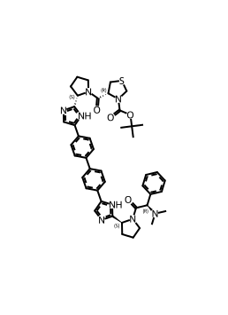 CN(C)[C@@H](C(=O)N1CCC[C@H]1c1ncc(-c2ccc(-c3ccc(-c4cnc([C@@H]5CCCN5C(=O)[C@@H]5CSCN5C(=O)OC(C)(C)C)[nH]4)cc3)cc2)[nH]1)c1ccccc1